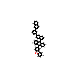 c1cc(-c2ccc3ccccc3c2)cc(-c2ccc3c(-c4c5ccccc5c(-c5ccc6oc7ccccc7c6c5)c5ccccc45)cccc3c2)c1